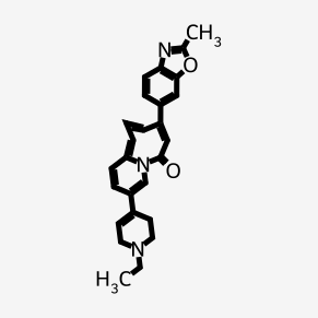 CCN1CC=C(C2=CN3C(=O)\C=C(c4ccc5nc(C)oc5c4)/C=C/C=C/3C=C2)CC1